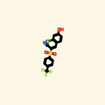 N#C/C(=C\c1ccc(O)cc1Cl)S(=O)(=O)c1ccc(C(F)(F)F)cc1